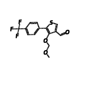 COCOc1c(C=O)csc1-c1ccc(C(F)(F)F)cc1